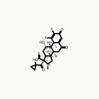 C[C@@H]1C[C@H]2[C@@H]3CC(=O)C4=CC(=O)C(F)=C(F)[C@]4(C)[C@H]3[C@@H](O)C[C@]2(C)[C@@]1(C(=O)C1(C)CC1)C(O)=S